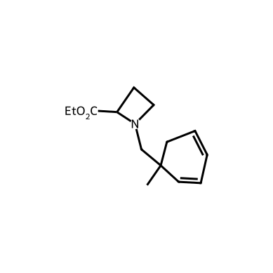 CCOC(=O)C1CCN1CC1(C)C=CC=CC1